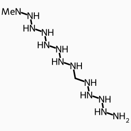 CNNNNNNNNCNNNNN